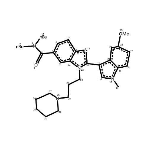 CCCCN(CCCC)C(=O)c1ccc2nc(-c3cn(C)c4ccc(OC)cc34)n(CCCN3CCCCC3)c2c1